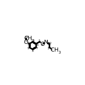 CC/[C]=N\OCc1cccc(OC)c1